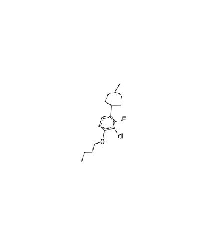 CCCCOc1ccc(C2=CCC(C)CC2)c(F)c1Cl